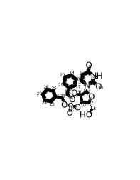 O=c1ccn([C@@H]2O[C@H](CO)C(OP(=O)(OCc3ccccc3)OCc3ccccc3)C2O)c(=O)[nH]1